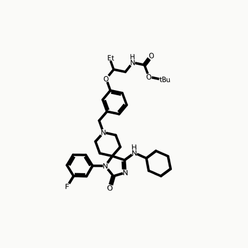 CCC(CNC(=O)OC(C)(C)C)Oc1cccc(CN2CCC3(CC2)C(NC2CCCCC2)=NC(=O)N3c2cccc(F)c2)c1